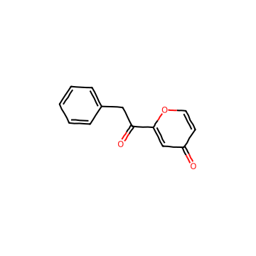 O=C(Cc1ccccc1)c1cc(=O)cco1